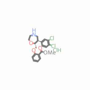 COC(=O)c1ccccc1OC[C@@H]1OCCNC[C@H]1c1ccc(Cl)c(Cl)c1.Cl